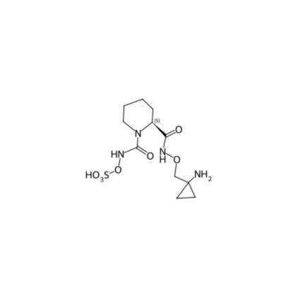 NC1(CONC(=O)[C@@H]2CCCCN2C(=O)NOS(=O)(=O)O)CC1